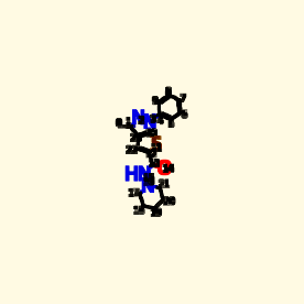 Cc1nn(-c2ccccc2)c2sc(C(=O)NN3CCCCC3)cc12